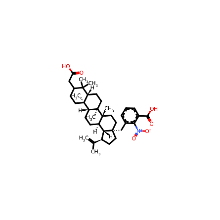 C=C(C)[C@@H]1CC[C@]2(Cc3cccc(C(=O)O)c3[N+](=O)[O-])CC[C@]3(C)[C@H](CC[C@@H]4[C@@]5(C)CCC(CC(=O)O)C(C)(C)[C@@H]5CC[C@]43C)[C@@H]12